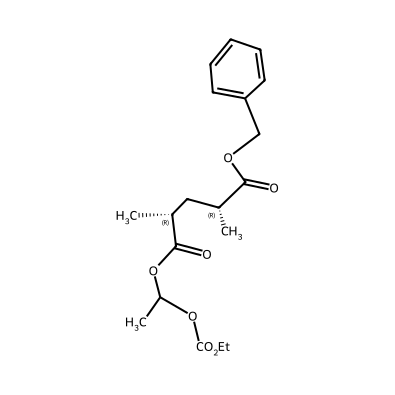 CCOC(=O)OC(C)OC(=O)[C@H](C)C[C@@H](C)C(=O)OCc1ccccc1